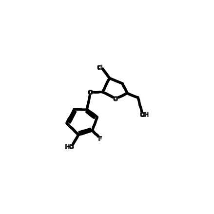 OCC1CC(Cl)C(Oc2ccc(O)c(F)c2)O1